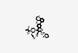 C=C(F)C(=O)N1CCN(c2c(C#N)c(OC[C@@H]3CCCN3C)nc3cc(-c4cccc5c4CCCS5)c(F)cc23)C[C@@H]1CC#N